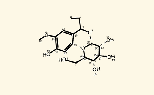 CCC(O[C@H]1O[C@H](CO)[C@@H](O)[C@H](O)[C@H]1O)c1ccc(O)c(OC)c1